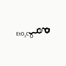 CCOC(=O)CC(=O)CCC1CCN(Cc2ccccc2)CC1